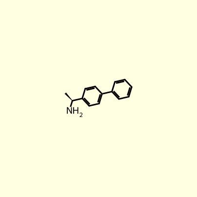 C[C@H](N)c1ccc(-c2ccccc2)cc1